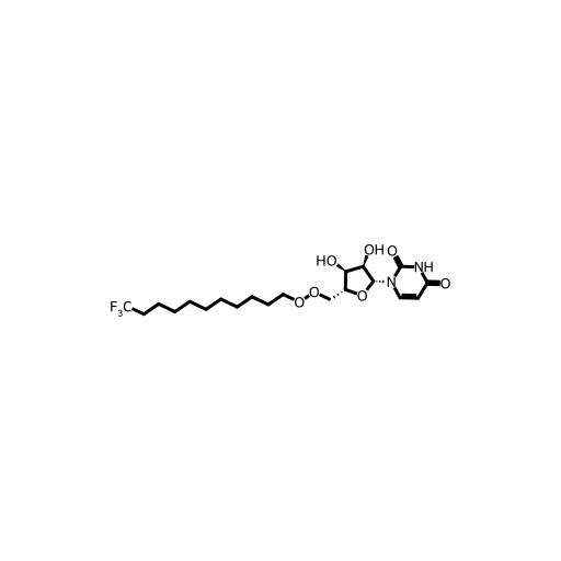 O=c1ccn([C@@H]2O[C@H](COOCCCCCCCCCCC(F)(F)F)[C@@H](O)[C@H]2O)c(=O)[nH]1